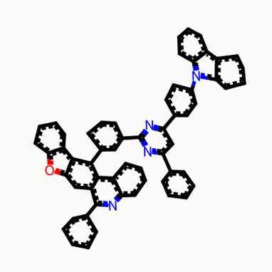 c1ccc(-c2cc(-c3ccc(-n4c5ccccc5c5ccccc54)cc3)nc(-c3cccc(-c4c5c(cc6c(-c7ccccc7)nc7ccccc7c46)oc4ccccc45)c3)n2)cc1